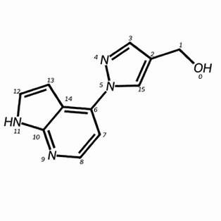 OCc1cnn(-c2ccnc3[nH]ccc23)c1